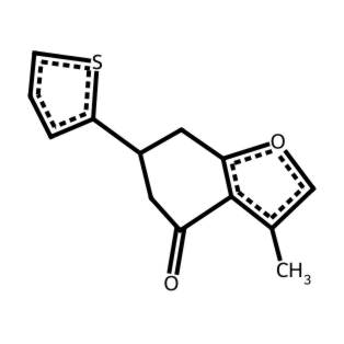 Cc1coc2c1C(=O)CC(c1cccs1)C2